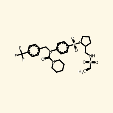 C=CS(=O)(=O)NCC1CCCN1S(=O)(=O)c1ccc(N(Cc2ccc(C(F)(F)F)cc2)C(=O)N2CCCCC2)cc1